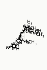 COCCNc1nc(Nc2ccc(C#N)cc2)ncc1C#CCCCNC(=O)[C@H](C)N(C)C(=O)/C=C/CN(C)C